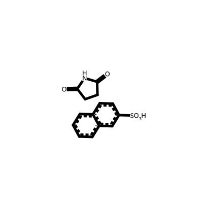 O=C1CCC(=O)N1.O=S(=O)(O)c1ccc2ccccc2c1